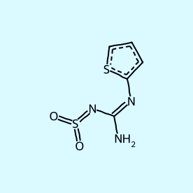 NC(=Nc1cccs1)N=S(=O)=O